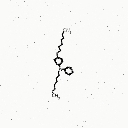 CCCCCCCCc1ccc(N(CCCCCCCC)c2ccccc2)cc1